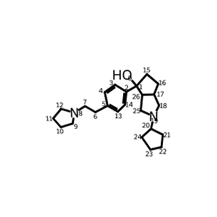 OC1(c2ccc(CCN3CCCC3)cc2)CCC2CN(C3CCCC3)CC21